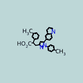 Cc1ccc(-n2nc(CC(C(=O)O)c3cccc(C)c3)cc2-c2ccc3ncccc3c2)cc1